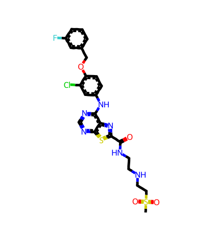 CS(=O)(=O)CCNCCNC(=O)c1nc2c(Nc3ccc(OCc4cccc(F)c4)c(Cl)c3)ncnc2s1